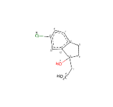 O=C(O)CC1(O)CCc2ccc(Cl)cc21